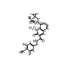 Cn1c(=O)c(C(=O)NCc2cc(F)c(C#N)c(F)c2)cc2cnnc(OCC3(S(C)(=O)=O)CC3)c21